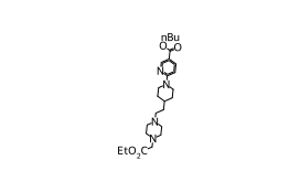 CCCCOC(=O)c1ccc(N2CCC(CCN3CCN(CC(=O)OCC)CC3)CC2)nc1